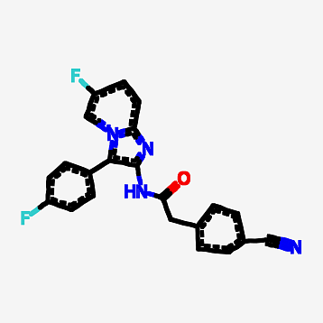 N#Cc1ccc(CC(=O)Nc2nc3ccc(F)cn3c2-c2ccc(F)cc2)cc1